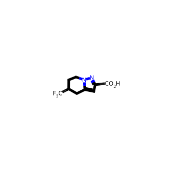 O=C(O)c1cc2n(n1)CCC(C(F)(F)F)C2